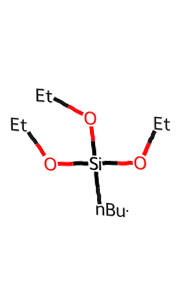 CCC[CH][Si](OCC)(OCC)OCC